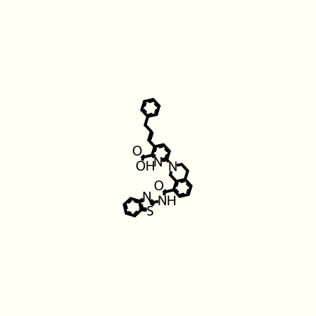 O=C(Nc1nc2ccccc2s1)c1cccc2c1CN(c1ccc(C=CCc3ccccc3)c(C(=O)O)n1)CC2